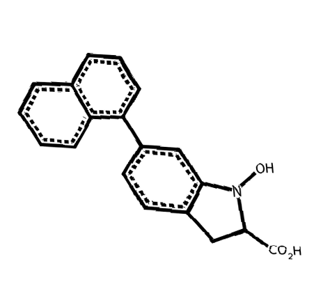 O=C(O)C1Cc2ccc(-c3cccc4ccccc34)cc2N1O